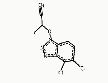 C#CC(I)On1nnc2c(Cl)c(Cl)ccc21